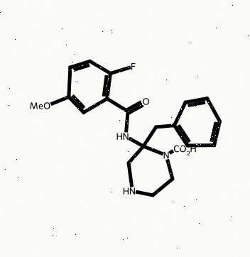 COc1ccc(F)c(C(=O)NC2(Cc3ccccc3)CNCCN2C(=O)O)c1